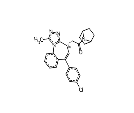 Cc1nnc2n1-c1ccccc1C(c1ccc(Cl)cc1)=C[C@H]2CC(=O)N1C2CCC1CC2